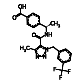 Cc1nnn(Cc2cccc(C(F)(F)F)c2)c1C(=O)N[C@@H](C)c1ccc(C(=O)O)cc1